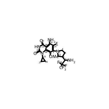 COc1c(N2CCC(C(N)C(F)(F)C(F)(F)F)C2)c(F)c(N)c2c(=O)[nH]c(=O)n(C3CC3)c12